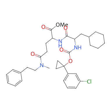 COC(=O)C(CCC(=O)N(C)CCc1ccccc1)NC(=O)C(CC1CCCCC1)NC(=O)OC1(c2cccc(Cl)c2)CC1